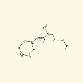 CC(C)CC/N=C(Cl)\N=C\N1CCOCC1